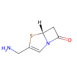 NCC1=CN2C(=O)C[C@H]2S1